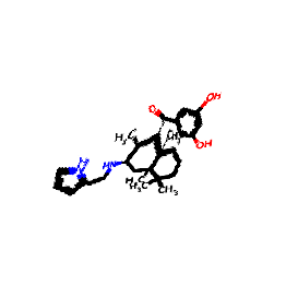 C[C@@H]1[C@H](NCc2ccc[nH]2)C[C@@]2(C)C(C)(C)CCC[C@]2(C)[C@H]1C(=O)c1cc(O)cc(O)c1